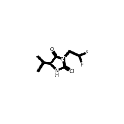 CC(C)C1NC(=O)N(CC(F)F)C1=O